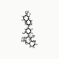 Cc1cc(-c2ncc3cc(C(F)(F)F)ccc3n2)ccc1C1NNOC2CC=CN=C2C1=O